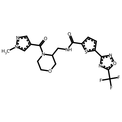 Cn1cc(C(=O)N2CCOCC2CNC(=O)c2ccc(-c3noc(C(F)(F)F)n3)s2)cn1